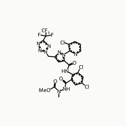 COC(=O)N(C)NC(=O)c1cc(Cl)cc(Cl)c1NC(=O)c1cc(Cn2nnc(C(F)(F)C(F)(F)F)n2)nn1-c1ncccc1Cl